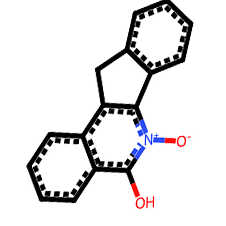 [O-][n+]1c2c(c3ccccc3c1O)Cc1ccccc1-2